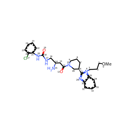 COCCCn1c([C@@H]2CCCN(C(=O)C[C@@H](N)CNC(=O)Nc3ccccc3Cl)C2)nc2ccccc21